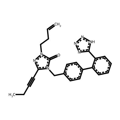 C=CCCn1nc(C#CCC)n(Cc2ccc(-c3ccccc3-c3nnn[nH]3)cc2)c1=O